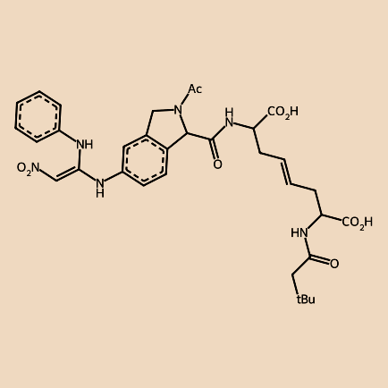 CC(=O)N1Cc2cc(NC(=C[N+](=O)[O-])Nc3ccccc3)ccc2C1C(=O)NC(CC=CCC(NC(=O)CC(C)(C)C)C(=O)O)C(=O)O